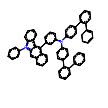 C1=CCCC(c2ccccc2-c2ccc(N(c3ccc(-c4ccccc4-c4ccccc4)cc3)c3cccc(-c4c5ccccc5cc5c4c4ccccc4n5-c4ccccc4)c3)cc2)=C1